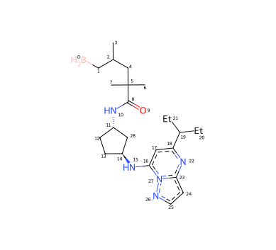 BCC(C)CC(C)(C)C(=O)N[C@H]1CC[C@H](Nc2cc(C(CC)CC)nc3ccnn23)C1